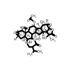 CC(=O)O[C@H]1CC2C([C@H]3OC(=O)C(C(C)C)CN[C@H]3[C@H]3C[C@@H]4O[C@@H]4[C@H](O)[C@]23C(C)=O)[C@@H]2[C@@H](O)[C@@H]3[C@H]([C@H](C)[C@H]4O[C@]45OC(=O)[C@@](C)(O)[C@]35C)[C@@]12C